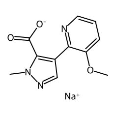 COc1cccnc1-c1cnn(C)c1C(=O)[O-].[Na+]